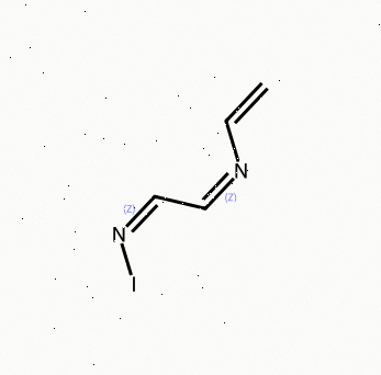 C=C/N=C\C=N/I